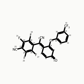 N#C/C(=C1/C=CC(=O)C=C1Oc1cccc(C(F)(F)F)c1)c1c(F)c(F)c(C#N)c(F)c1F